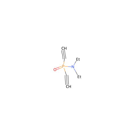 C#CP(=O)(C#C)N(CC)CC